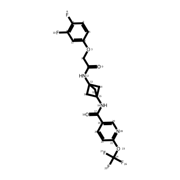 O=C(COc1ccc(F)c(F)c1)NC12CC(NC(=O)c3ccc(OC(F)(F)F)nc3)(C1)C2